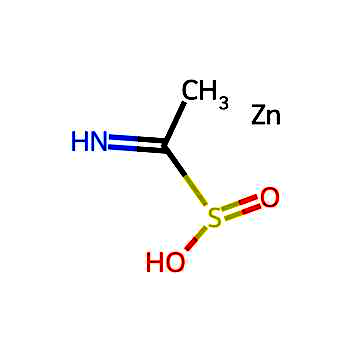 CC(=N)S(=O)O.[Zn]